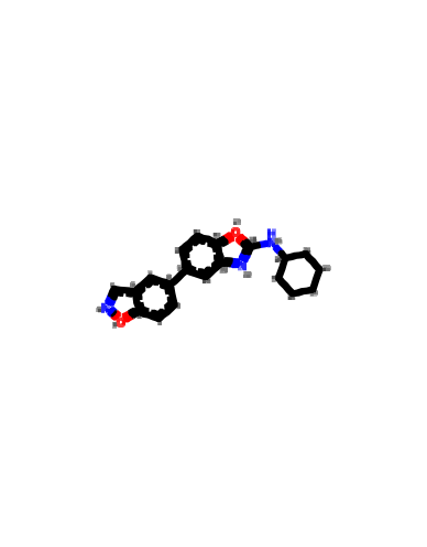 c1cc2oncc2cc1-c1ccc2oc(NC3CCCCC3)nc2c1